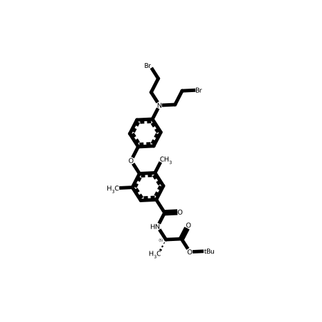 Cc1cc(C(=O)N[C@@H](C)C(=O)OC(C)(C)C)cc(C)c1Oc1ccc(N(CCBr)CCBr)cc1